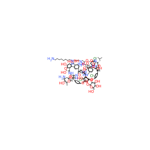 CC(C)C[C@H](C(=O)N[C@H]1C(=O)C[C@@H](CC(N)=O)C(=O)N[C@H]2C(=O)C[C@H]3C(=O)N[C@H](C(=O)N[C@H](C(=O)O)c4cc(O)cc5c4-c4cc3ccc4C5(O)O)[C@H](O[C@H]3C[C@](C)(N)[C@@H](O)[C@H](C)O3)c3ccc(c(Cl)c3)Oc3cc2cc(c3O[C@@H]2O[C@H](CO)[C@@H](O)[C@H](O)[C@H]2O[C@H]2C[C@](C)(NCc3ccc(-c4ccc(Cl)cc4)cc3)[C@@H](O)[C@H](C)O2)Oc2ccc(cc2Cl)[C@H]1O)N(C)C(=O)OCOC(=O)CNCCCNCCCCCCCCN